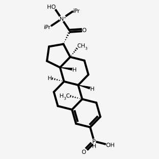 CC(C)[N+](O)(C(=O)[C@H]1CC[C@H]2[C@@H]3CCC4=CC([PH](=O)O)=CC[C@]4(C)[C@H]3CC[C@]12C)C(C)C